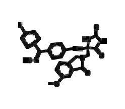 COc1ccc2c(c1)C(=O)N(C[C@@]1(C#Cc3ccc(C(=NO)c4ccc(F)cc4)cc3)NC(=O)NC1=O)C2